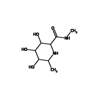 CNC(=O)C1NC(C)C(O)C(O)C1O